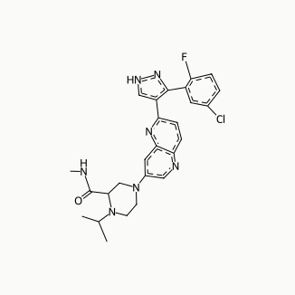 CNC(=O)C1CN(c2cnc3ccc(-c4c[nH]nc4-c4cc(Cl)ccc4F)nc3c2)CCN1C(C)C